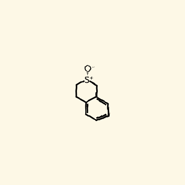 [O-][S@@+]1CCc2ccccc2C1